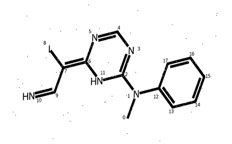 CN(C1=NC=N/C(=C(\I)C=N)N1)c1ccccc1